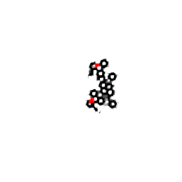 [C-]#[N+]c1ccccc1-c1cc(F)c(N(c2ccccc2)c2ccc3ccc4c(N(c5ccccc5)c5cc(-c6ccccc6C#N)c(-c6ccccc6C#N)cc5F)ccc5ccc2c3c54)cc1-c1ccccc1C#N